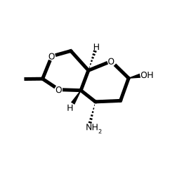 CC1OC[C@H]2O[C@@H](O)C[C@H](N)[C@@H]2O1